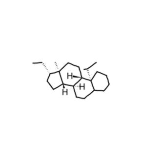 CC[C@H]1CC[C@H]2[C@@H]3CCC4CCCC[C@]4(C(C)C)[C@H]3CC[C@]12C